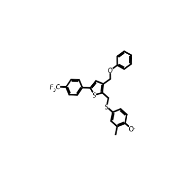 Cc1cc(SCc2sc(-c3ccc(C(F)(F)F)cc3)cc2COc2ccccc2)ccc1[O]